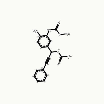 CC(C)(C)OC(=O)Nc1cc(C(C#Cc2ccccc2)OC(=O)C(C)(C)C)ccc1[N+](=O)[O-]